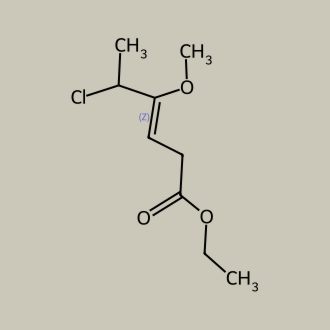 CCOC(=O)C/C=C(\OC)C(C)Cl